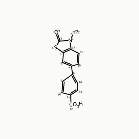 CCCn1c(=O)sc2cc(-c3ccc(C(=O)O)cc3)ccc21